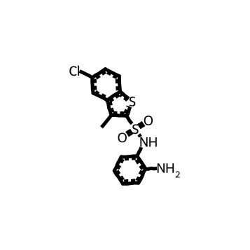 Cc1c(S(=O)(=O)Nc2ccccc2N)sc2ccc(Cl)cc12